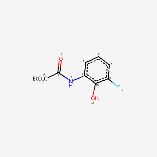 CCOC(=O)C(=O)Nc1cccc(F)c1O